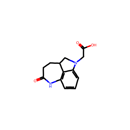 O=C(O)CN1CC2CCC(=O)Nc3cccc1c32